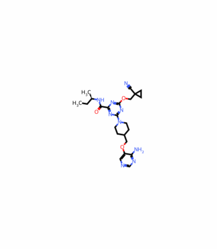 CC[C@@H](C)NC(=O)c1nc(OCC2(C#N)CC2)nc(N2CCC(COc3cncnc3N)CC2)n1